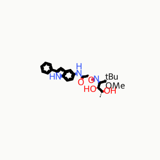 CO[C@H](/C(=N/OCC(=O)Nc1ccc2[nH]c(-c3ccccc3)cc2c1)[C@@H](O)[C@@H](C)O)C(C)(C)C